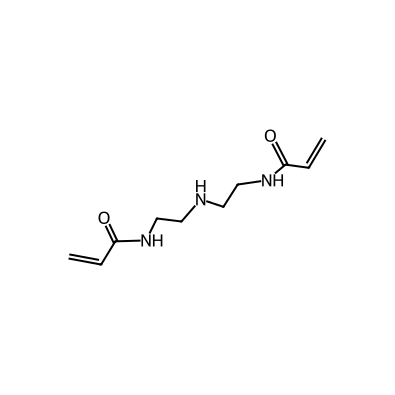 C=CC(=O)NCCNCCNC(=O)C=C